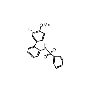 COc1ccc(-c2ccccc2NS(=O)(=O)c2ccccc2)cc1F